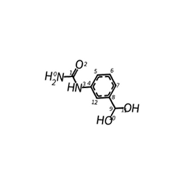 NC(=O)Nc1cccc(C(O)O)c1